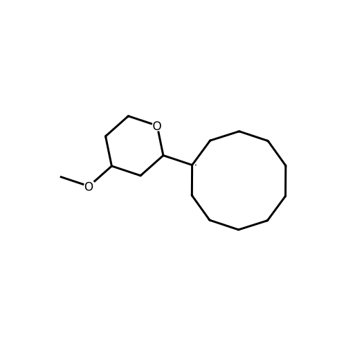 COC1CCOC([C]2CCCCCCCCC2)C1